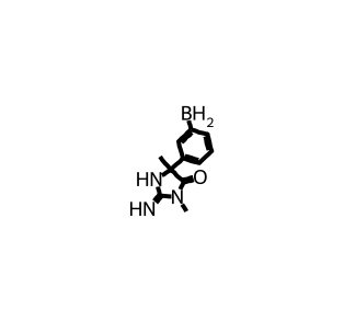 Bc1cccc(C2(C)NC(=N)N(C)C2=O)c1